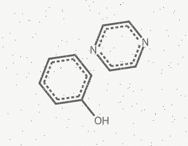 Oc1ccccc1.c1cnccn1